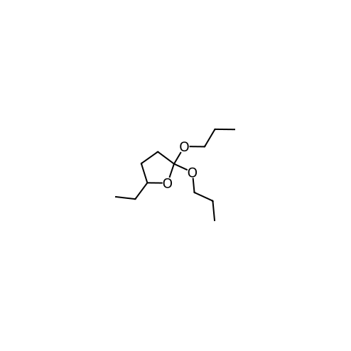 CCCOC1(OCCC)CCC(CC)O1